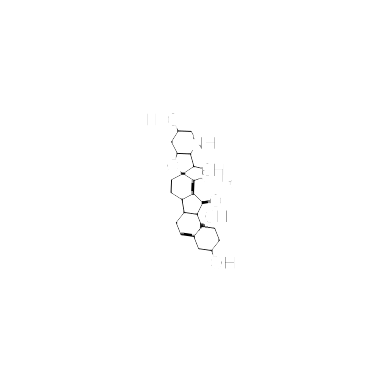 CC1=C2C(=O)C3C(CC=C4CC(O)CC[C@@]43C)C2CCC12OC1CC(C)CNC1C2C